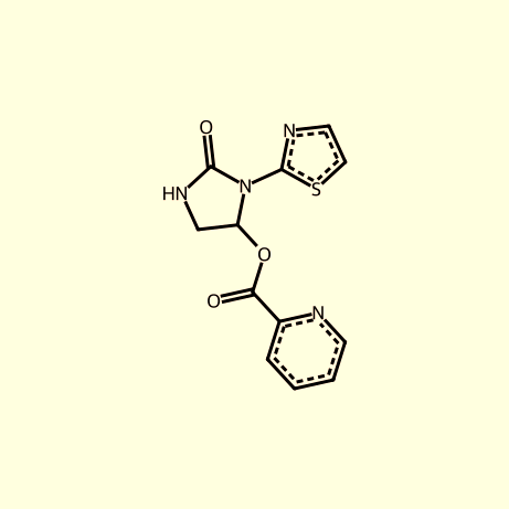 O=C(OC1CNC(=O)N1c1nccs1)c1ccccn1